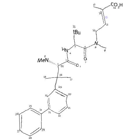 CN[C@H](C(=O)NC(C(=O)N(C)C/C=C(\C)C(=O)O)C(C)(C)C)C(C)(C)c1cccc(-c2ccccc2)c1